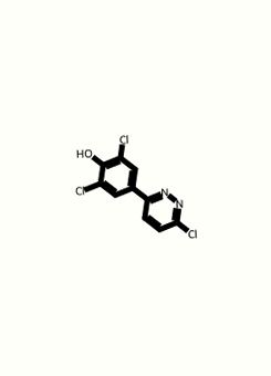 Oc1c(Cl)cc(-c2ccc(Cl)nn2)cc1Cl